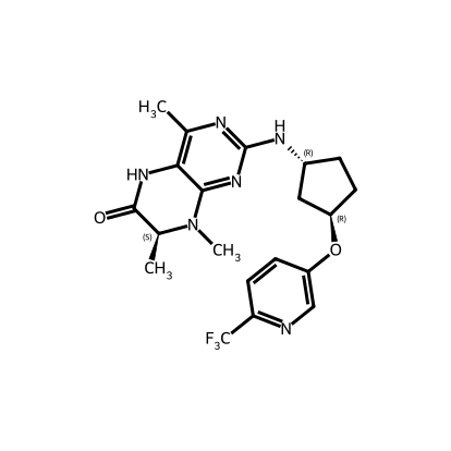 Cc1nc(N[C@@H]2CC[C@@H](Oc3ccc(C(F)(F)F)nc3)C2)nc2c1NC(=O)[C@H](C)N2C